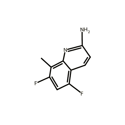 Cc1c(F)cc(F)c2ccc(N)nc12